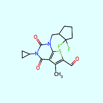 Cc1c(C=O)sc2c1c(=O)n(C1CC1)c(=O)n2CC1CCCC1(F)F